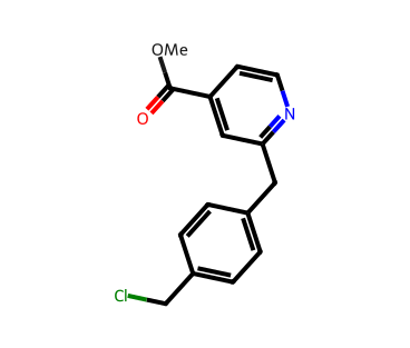 COC(=O)c1ccnc(Cc2ccc(CCl)cc2)c1